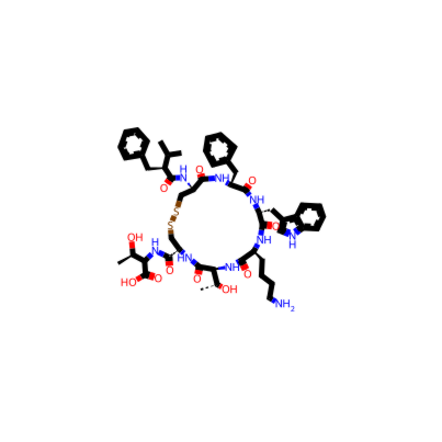 CC(C)[C@H](Cc1ccccc1)C(=O)N[C@H]1CSSC[C@@H](C(=O)NC(C(=O)O)[C@@H](C)O)NC(=O)[C@H]([C@@H](C)O)NC(=O)[C@H](CCCCN)NC(=O)[C@@H](Cc2c[nH]c3ccccc23)NC(=O)[C@H](Cc2ccccc2)NC1=O